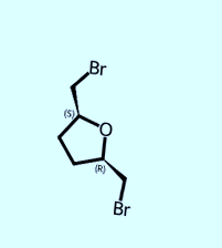 BrC[C@@H]1CC[C@H](CBr)O1